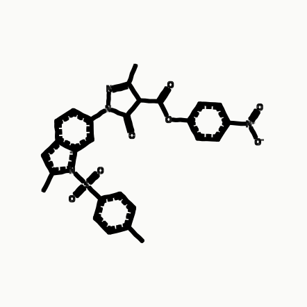 CC1=NN(c2ccc3cc(C)n(S(=O)(=O)c4ccc(C)cc4)c3c2)C(=O)C1C(=O)Oc1ccc([N+](=O)[O-])cc1